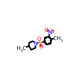 Cc1ccc(S(=O)(=O)N2CCC(C)CC2)cc1[N+](=O)[O-]